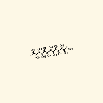 CC(O)C(O)C(O)C(O)C(O)C(O)C(O)C(O)C(O)C(O)C(O)C(O)CO